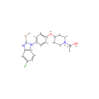 CSc1nc2cc(F)ccc2n1-c1ccc(OC2CCN(B(C)O)CC2)cc1